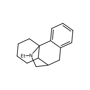 CCN1CC2Cc3ccccc3C13CCCCC23